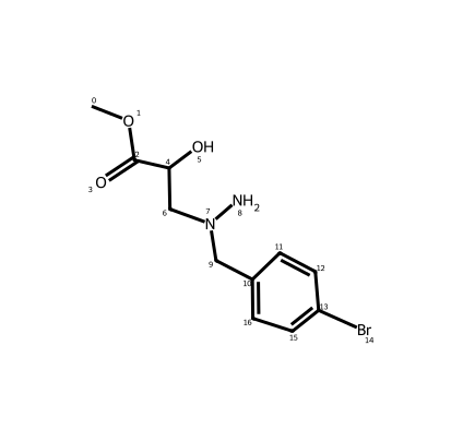 COC(=O)C(O)CN(N)Cc1ccc(Br)cc1